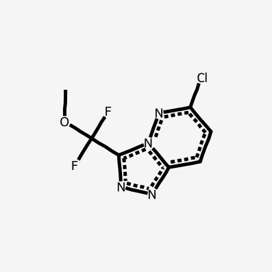 COC(F)(F)c1nnc2ccc(Cl)nn12